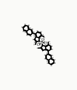 C[CH2][Zr]([Cl])([Cl])([CH]1C(C)=Cc2c(-c3ccc4ccccc4c3)ccc(C)c21)[CH]1C(C)=Cc2c(-c3ccc4ccccc4c3)ccc(C)c21